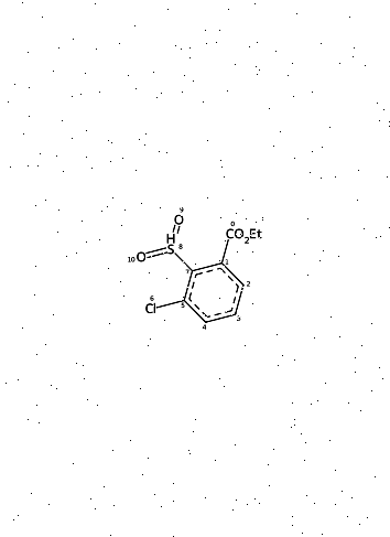 CCOC(=O)c1cccc(Cl)c1[SH](=O)=O